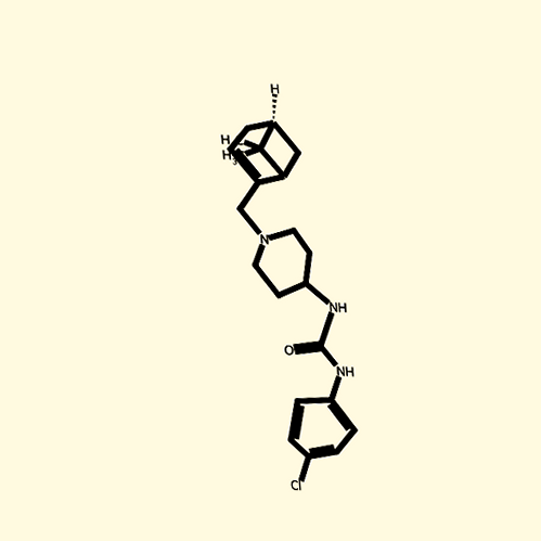 CC1(C)C2C[C@@H]1CC=C2CN1CCC(NC(=O)Nc2ccc(Cl)cc2)CC1